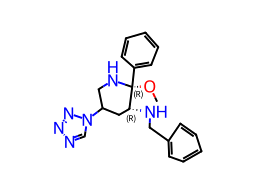 CO[C@@]1(c2ccccc2)NCC(n2cnnn2)C[C@H]1NCc1ccccc1